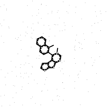 Cc1c(-c2c3c(nc[n+]2C)sc2sccc23)ccc2ccccc12